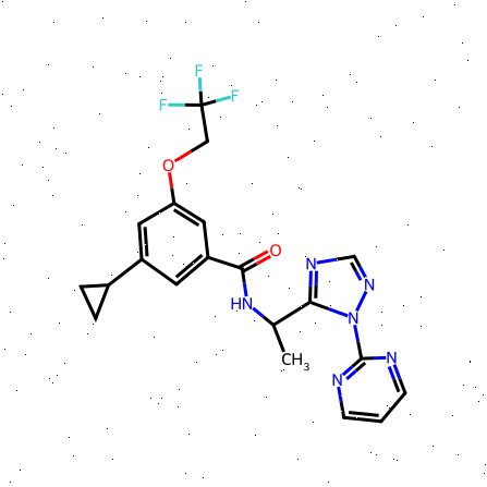 CC(NC(=O)c1cc(OCC(F)(F)F)cc(C2CC2)c1)c1ncnn1-c1ncccn1